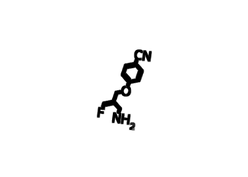 N#Cc1ccc(OCC(=CF)CN)cc1